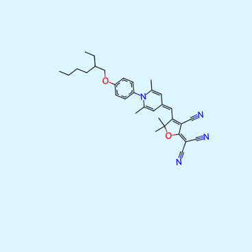 CCCCC(CC)COc1ccc(N2C(C)=CC(=CC3=C(C#N)C(=C(C#N)C#N)OC3(C)C)C=C2C)cc1